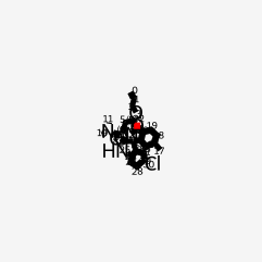 C=CCO[C@@H]1C[C@@H](C(=O)N(C)C)N(C2(c3cc(C)ccc3OC)C(=O)Nc3ccc(Cl)cc32)C1